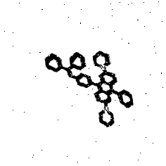 C(=C(c1ccccc1)c1ccccc1)c1ccc(-c2c3ccc(N4CCCCC4)cc3c(-c3ccccc3)c3ccc(N4CCCCC4)cc23)cc1